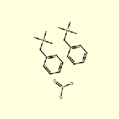 C[N+](C)(C)Cc1ccccc1.C[N+](C)(C)Cc1ccccc1.O=S([O-])[O-]